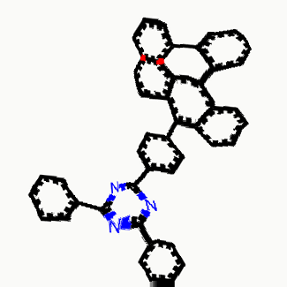 c1ccc(-c2nc(-c3ccccc3)nc(-c3ccc(-c4c5ccccc5c(-c5ccccc5-c5ccccc5)c5ccccc45)cc3)n2)cc1